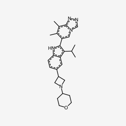 Cc1c(-c2[nH]c3ccc(C4CN(C5CCOCC5)C4)cc3c2C(C)C)cn2cnnc2c1C